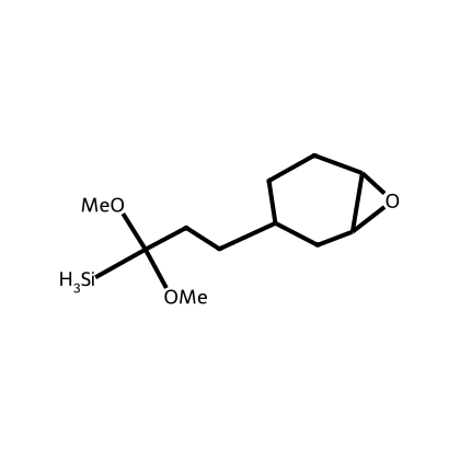 COC([SiH3])(CCC1CCC2OC2C1)OC